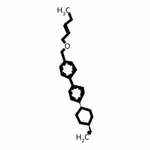 C=C[C@H]1CC[C@H](c2ccc(-c3ccc(COCC=CCC)cc3)cc2)CC1